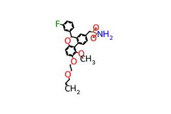 C=CCOCCOc1ccc2c(c1OC)-c1ccc(CS(N)(=O)=O)cc1C(c1cccc(F)c1)O2